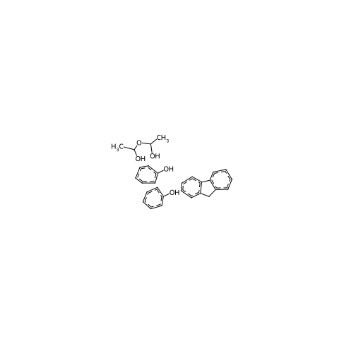 CC(O)OC(C)O.Oc1ccccc1.Oc1ccccc1.c1ccc2c(c1)Cc1ccccc1-2